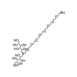 CNCCOCCOCCOCCOCCOCCOCCOCCOCCN(C[C@H](O)[C@@H](O)[C@H](O)[C@H](O)CO)C[C@H](O)[C@@H](O)[C@H](O)[C@H](O)CO